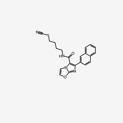 N#CSCCCCNC(=O)c1c(-c2ccc3ccccc3c2)nc2occn12